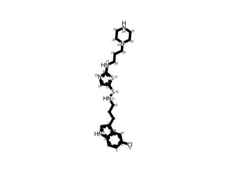 Clc1ccc2[nH]cc(CCCNSc3cnc(NCCCN4CCNCC4)s3)c2c1